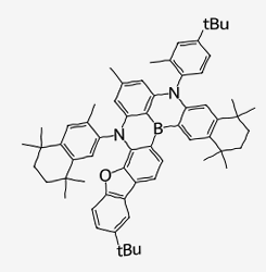 Cc1cc2c3c(c1)N(c1cc4c(cc1C)C(C)(C)CCC4(C)C)c1c(ccc4c1oc1ccc(C(C)(C)C)cc14)B3c1cc3c(cc1N2c1ccc(C(C)(C)C)cc1C)C(C)(C)CCC3(C)C